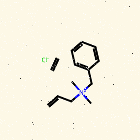 C=C.C=CC[N+](C)(C)Cc1ccccc1.[Cl-]